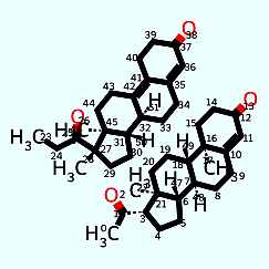 CC(=O)[C@H]1CC[C@H]2[C@@H]3CCC4=CC(=O)CC[C@]4(C)[C@H]3CC[C@]12C.CCC(=O)[C@@]1(C)CC[C@H]2[C@@H]3CCC4=CC(=O)CCC4=C3CC[C@@]21C